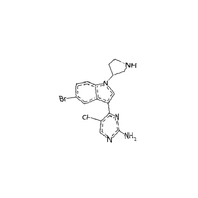 Nc1ncc(Cl)c(-c2cn(C3CCNC3)c3ccc(Br)cc23)n1